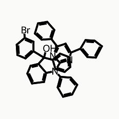 OC(c1ccccc1)(c1cccc(Br)c1)c1ccccc1N(c1ccccc1)c1nc(-c2ccccc2)cc(-c2ccccc2)n1